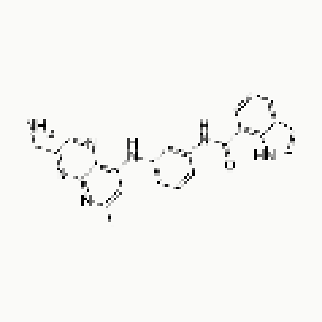 Cc1cc(Nc2cccc(NC(=O)c3cccc4cc[nH]c34)c2)c2ncc(CN)nc2n1